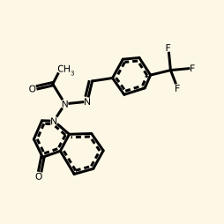 CC(=O)N(N=Cc1ccc(C(F)(F)F)cc1)n1ccc(=O)c2ccccc21